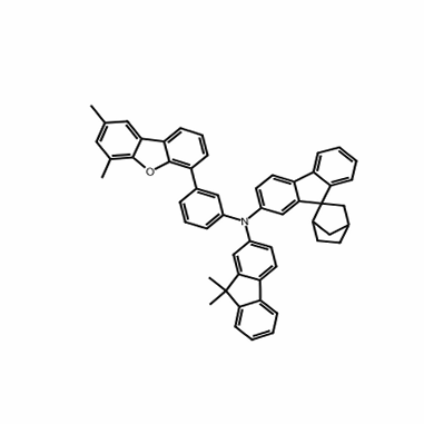 Cc1cc(C)c2oc3c(-c4cccc(N(c5ccc6c(c5)C(C)(C)c5ccccc5-6)c5ccc6c(c5)C5(CC7CCC5C7)c5ccccc5-6)c4)cccc3c2c1